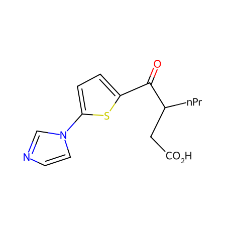 CCCC(CC(=O)O)C(=O)c1ccc(-n2ccnc2)s1